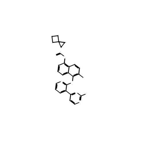 Cc1ccc2c(NC(=O)[C@H]3CC34CCC4)cccc2c1Oc1ncccc1-c1ccnc(N)n1